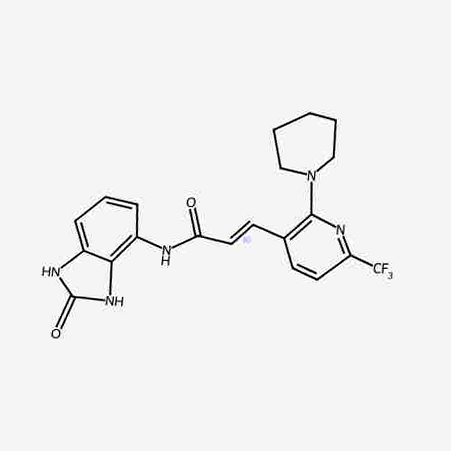 O=C(/C=C/c1ccc(C(F)(F)F)nc1N1CCCCC1)Nc1cccc2[nH]c(=O)[nH]c12